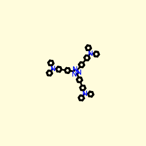 c1ccc(N(c2ccccc2)c2ccc(-c3ccc(-c4nc(-c5ccc(-c6ccc(N(c7ccccc7)c7ccccc7)cc6)cc5)nc(-c5ccc(-c6ccc(N(c7ccccc7)c7ccccc7)cc6)cc5)n4)cc3)cc2)cc1